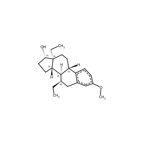 CC[C@@H]1Cc2cc(OC)ccc2[C@H]2CC[C@]3(CC)[C@@H](O)CC[C@H]3[C@H]12